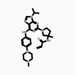 C=CC(=O)NC1(C)CCN(c2nc(Nc3ccc(N4CCN(C)CC4)cc3)c3ncn(C(C)C)c3n2)C1